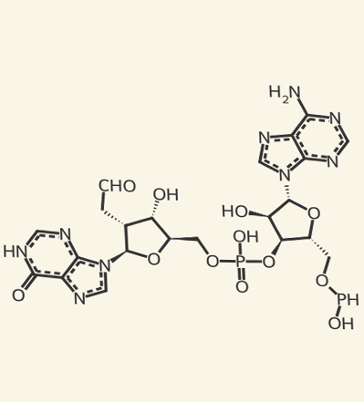 Nc1ncnc2c1ncn2[C@@H]1O[C@H](COPO)[C@@H](OP(=O)(O)OC[C@H]2O[C@@H](n3cnc4c(=O)[nH]cnc43)[C@H](CC=O)[C@@H]2O)[C@H]1O